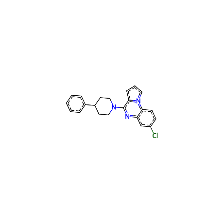 Clc1ccc2c(c1)nc(N1CCC(c3ccccc3)CC1)c1cccn12